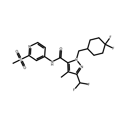 Cc1c(C(F)F)nn(CC2CCC(F)(F)CC2)c1C(=O)Nc1ccnc(S(C)(=O)=O)c1